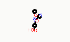 O=C(O)c1ccc(-c2nnc(-c3ccncc3Oc3ccccc3)o2)cc1